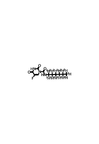 [2H]C([2H])([2H])C([2H])([2H])C([2H])([2H])C([2H])([2H])C([2H])([2H])C([2H])([2H])NC(=O)n1cc(F)c(=O)[nH]c1=O